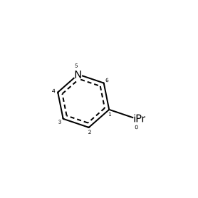 [CH2]C(C)c1cccnc1